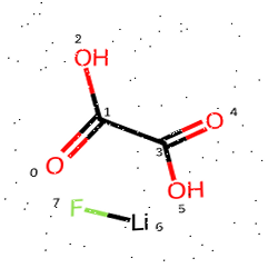 O=C(O)C(=O)O.[Li][F]